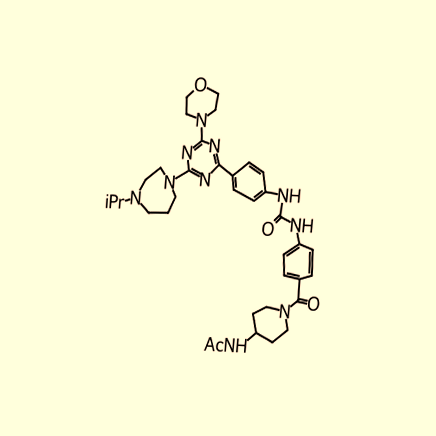 CC(=O)NC1CCN(C(=O)c2ccc(NC(=O)Nc3ccc(-c4nc(N5CCOCC5)nc(N5CCCN(C(C)C)CC5)n4)cc3)cc2)CC1